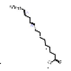 CCCCC/C=C/C/C=C/CCCCCCCCC(=O)Cl